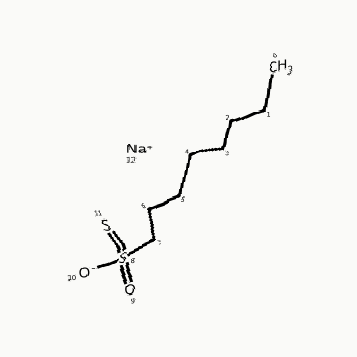 CCCCCCCCS(=O)([O-])=S.[Na+]